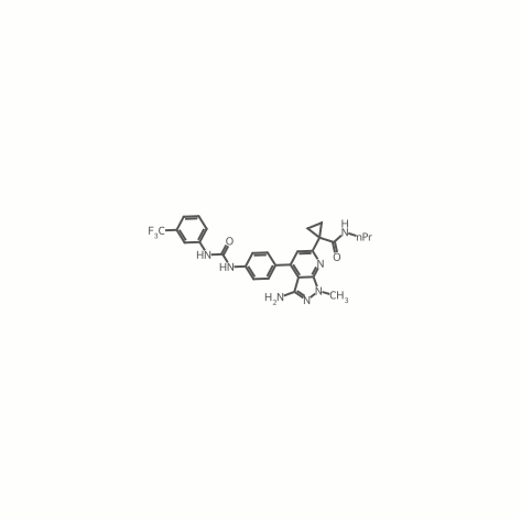 CCCNC(=O)C1(c2cc(-c3ccc(NC(=O)Nc4cccc(C(F)(F)F)c4)cc3)c3c(N)nn(C)c3n2)CC1